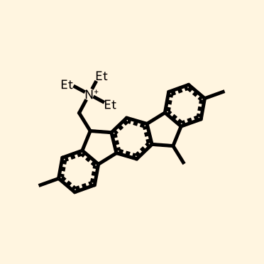 CC[N+](CC)(CC)CC1c2cc(C)ccc2-c2cc3c(cc21)-c1ccc(C)cc1C3C